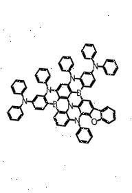 c1ccc(N(c2ccccc2)c2ccc3c(c2)N(c2ccccc2)c2cc4c5c6c2B3c2cccc3c2N6c2c(cc6c(oc7ccccc76)c2N3c2ccccc2)B5c2ccc(N(c3ccccc3)c3ccccc3)cc2N4c2ccccc2)cc1